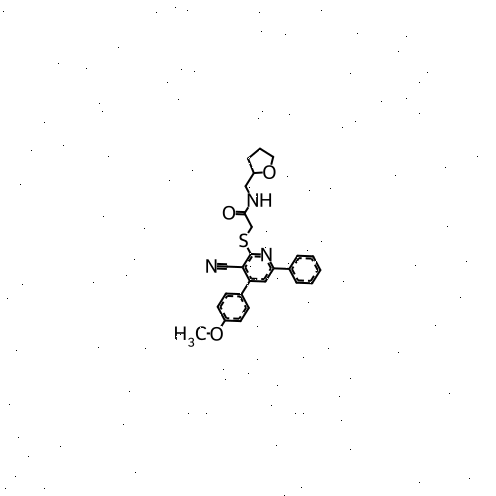 COc1ccc(-c2cc(-c3ccccc3)nc(SCC(=O)NCC3CCCO3)c2C#N)cc1